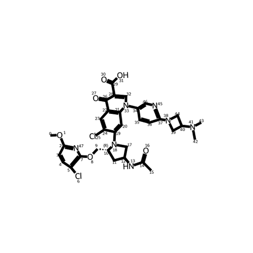 COc1ccc(Cl)c(OC[C@H]2CC(NC(C)=O)CN2c2cc3c(cc2Cl)c(=O)c(C(=O)O)cn3-c2ccc(N3CC(N(C)C)C3)nc2)n1